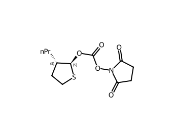 CCC[C@H]1CCS[C@@H]1OC(=O)ON1C(=O)CCC1=O